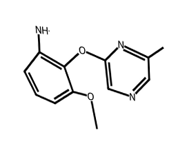 COc1cccc([NH])c1Oc1cncc(C)n1